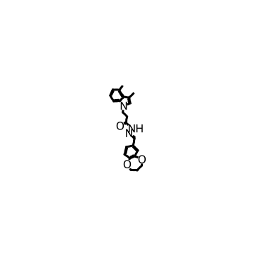 Cc1cccc2c1c(C)cn2CCC(=O)N/N=C/c1ccc2c(c1)OCCCO2